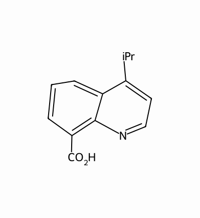 CC(C)c1ccnc2c(C(=O)O)cccc12